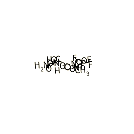 C[C@@H](CO[C@H]1CC[C@H](Oc2nc3c(F)cc(OCC(F)F)c(F)c3n2C)CC1)NC(=O)COC(N)=O